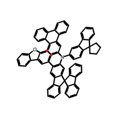 c1ccc2c(c1)-c1cc(N(c3ccc4c5ccccc5c5ccccc5c4c3)c3cc4c(cc3-c3ccc5oc6ccccc6c5c3)-c3ccccc3C43c4ccccc4-c4ccccc43)ccc1C21CCCC1